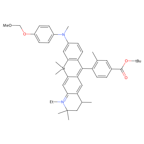 CC[N+]1=c2cc3c(cc2C(C)CC1(C)C)=C(c1ccc(C(=O)OC(C)(C)C)cc1C)c1ccc(N(C)c2ccc(OCOC)cc2)cc1[Si]3(C)C